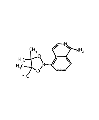 CC1(C)OB(c2cccc3c(N)nccc23)OC1(C)C